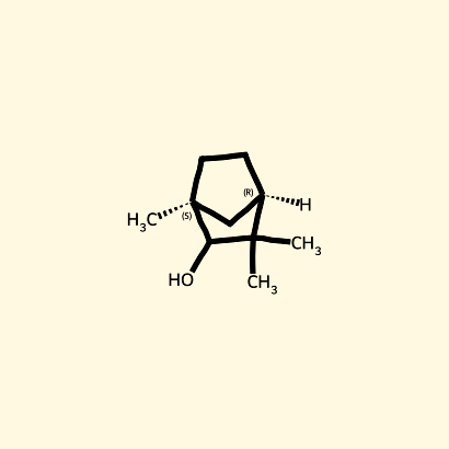 CC1(C)C(O)[C@@]2(C)CC[C@@H]1C2